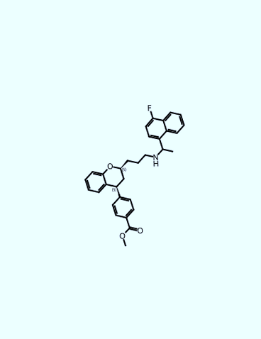 COC(=O)c1ccc([C@@H]2C[C@H](CCCNC(C)c3ccc(F)c4ccccc34)Oc3ccccc32)cc1